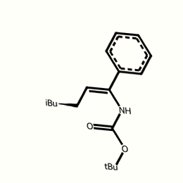 CC[C@H](C)CC=C(NC(=O)OC(C)(C)C)c1ccccc1